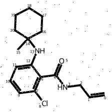 C=CCNC(=O)c1c(Cl)cccc1NC1(C)CCCCC1